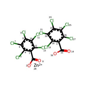 O=C([O-])c1c(Cl)c(Cl)c(Cl)c(Cl)c1Cl.O=C([O-])c1c(Cl)c(Cl)c(Cl)c(Cl)c1Cl.[Zn+2]